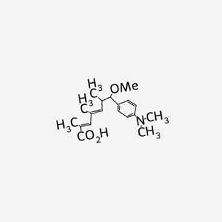 COC(c1ccc(N(C)C)cc1)C(C)/C=C(C)/C=C(\C)C(=O)O